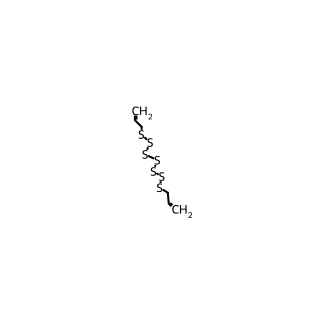 C=CCSSSSSSSCC=C